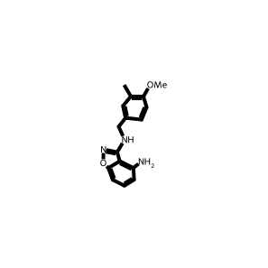 COc1ccc(CNc2noc3cccc(N)c23)cc1C